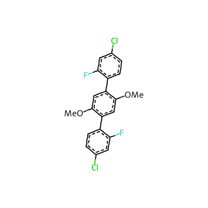 COc1cc(-c2ccc(Cl)cc2F)c(OC)cc1-c1ccc(Cl)cc1F